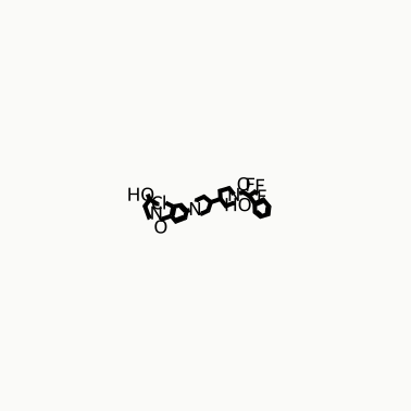 O=C(c1ccc(N2CCC(C3CCN(C(=O)C(O)(c4ccccc4)C(F)(F)F)CC3)CC2)cc1Cl)N1CCC(O)C1